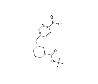 CC(C)(C)OC(=O)N1CCC[C@H](Oc2ccc([N+](=O)[O-])nc2)C1